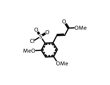 COC(=O)C=Cc1cc(OC)cc(OC)c1S(=O)(=O)Cl